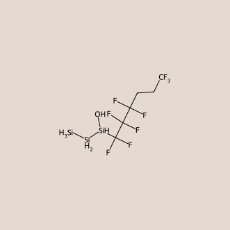 O[SiH]([SiH2][SiH3])C(F)(F)C(F)(F)C(F)(F)CCC(F)(F)F